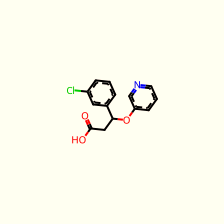 O=C(O)CC(Oc1cccnc1)c1cccc(Cl)c1